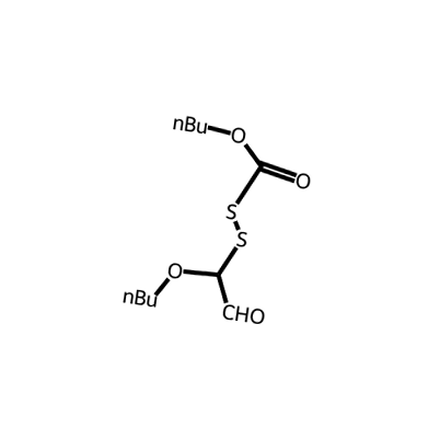 CCCCOC(=O)SSC(C=O)OCCCC